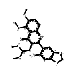 COc1ccc2[nH]c(-c3cc4c(cc3N)OCO4)c(CC(OC)OC)c(=O)c2c1OC